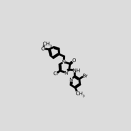 COc1ccc(Cn2cc(Cl)nc(Nc3ncc(C)cc3Br)c2=O)cc1